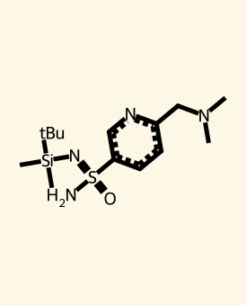 CN(C)Cc1ccc(S(N)(=O)=N[Si](C)(C)C(C)(C)C)cn1